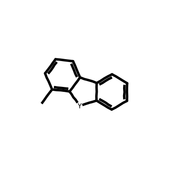 Cc1cccc2[c]1[Y][c]1ccccc1-2